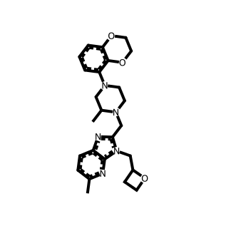 Cc1ccc2nc(CN3CCN(c4cccc5c4OCCO5)CC3C)n(CC3CCO3)c2n1